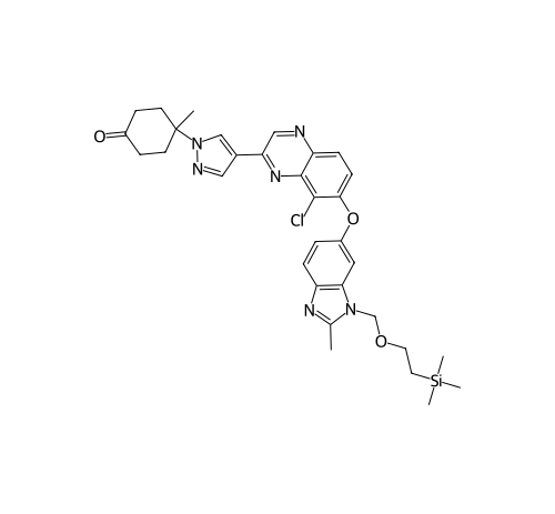 Cc1nc2ccc(Oc3ccc4ncc(-c5cnn(C6(C)CCC(=O)CC6)c5)nc4c3Cl)cc2n1COCC[Si](C)(C)C